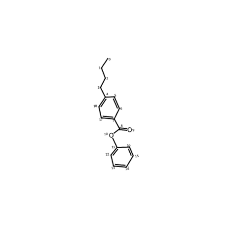 CCCCc1ccc(C(=O)Oc2cc[c]cc2)cc1